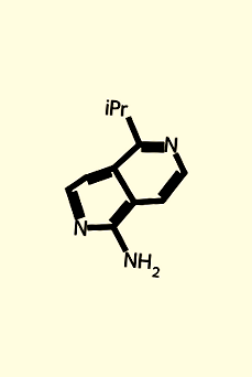 CC(C)c1nccc2c(N)nccc12